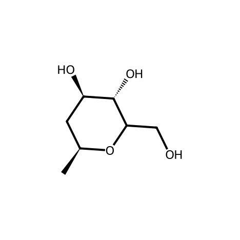 C[C@H]1C[C@@H](O)[C@H](O)C(CO)O1